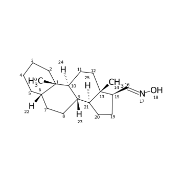 C[C@]12CCCC[C@H]1CC[C@@H]1[C@@H]2CC[C@]2(C)[C@@H](C=NO)CC[C@@H]12